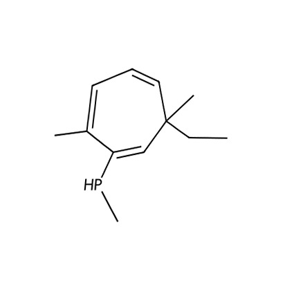 CCC1(C)C=CC=C(C)C(PC)=C1